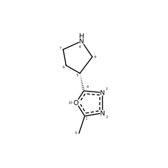 Cc1nnc([C@@H]2CCNC2)o1